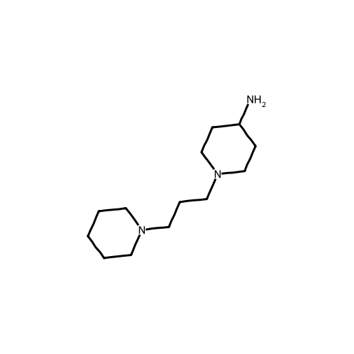 NC1CCN(CCCN2CCCCC2)CC1